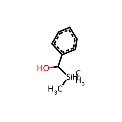 C[SiH](C)C(O)c1ccccc1